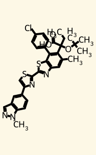 CCC(OC(C)(C)C)(C(=O)O)c1c(C)cc2nc(-c3nc(-c4ccc5c(cnn5C)c4)cs3)sc2c1-c1ccc(Cl)cc1